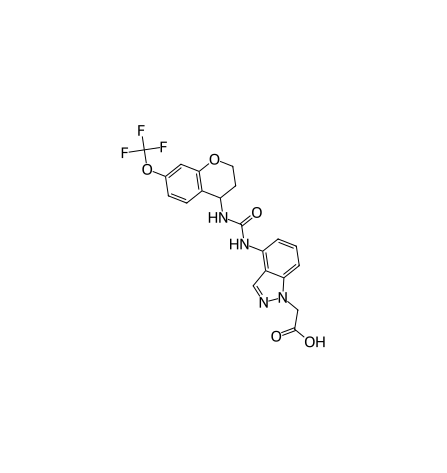 O=C(O)Cn1ncc2c(NC(=O)NC3CCOc4cc(OC(F)(F)F)ccc43)cccc21